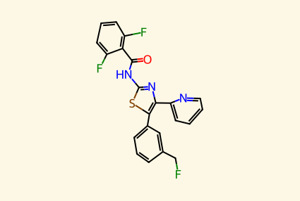 O=C(Nc1nc(-c2ccccn2)c(-c2cccc(CF)c2)s1)c1c(F)cccc1F